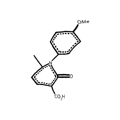 COc1ccc(-n2c(C)ccc(C(=O)O)c2=O)cc1